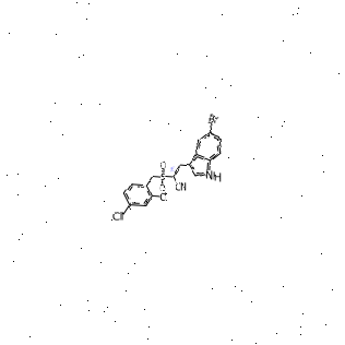 N#C/C(=C\c1c[nH]c2ccc(Br)cc12)S(=O)(=O)Cc1ccc(Cl)cc1Cl